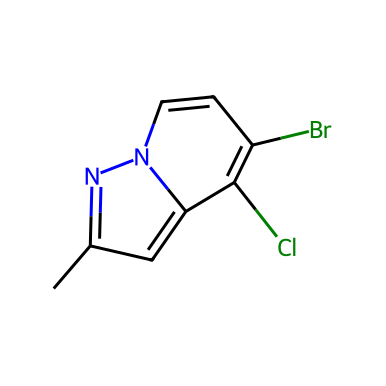 Cc1cc2c(Cl)c(Br)ccn2n1